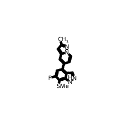 CSc1c(F)cc(-c2ccn3nc(C)cc3c2)c2cn[nH]c12